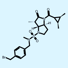 C[C@@H]1C(=O)N(C(=O)C2[C@@H](C)[C@H]2C)[C@H]2CCN(S(=O)(=O)N(C)Cc3ccc(CBr)cc3)[C@H]12